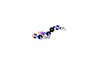 COc1ncc(N2CCOCC2)cc1N(O)SNc1cncc(-c2ccc(CN3CCN(C)CC3)cc2)c1